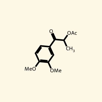 COc1ccc(C(=O)C(C)OC(C)=O)cc1OC